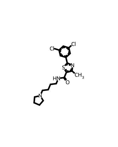 Cc1nc(-c2cc(Cl)cc(Cl)c2)sc1C(=O)NCCCCN1CCCC1